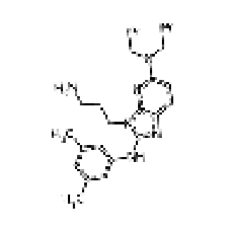 Cc1cc(C)cc(Nc2nc3ccc(N(CC(C)C)CC(C)C)nc3n2CCCN)c1